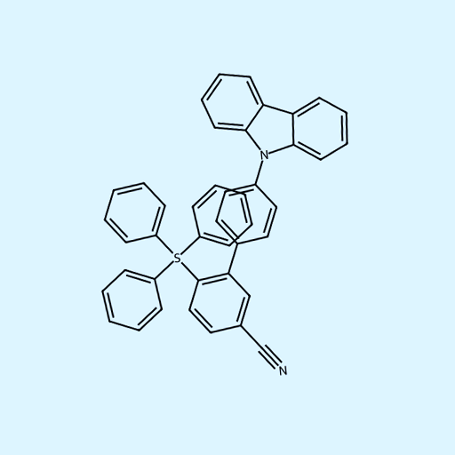 N#Cc1ccc(S(c2ccccc2)(c2ccccc2)c2ccccc2)c(-c2ccc(-n3c4ccccc4c4ccccc43)cc2)c1